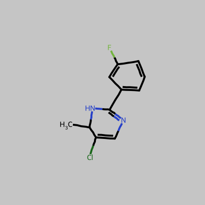 CC1NC(c2cccc(F)c2)=NC=C1Cl